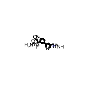 N=N/N=C/c1cncc(-c2ccc(F)c([C@]3(CF)C[C@@H](C(F)(F)F)OC(N)=N3)c2)c1